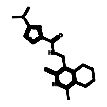 Cc1[nH]c(=O)c(CNC(=O)c2ccc(N(C)C)o2)c2c1CCCC2